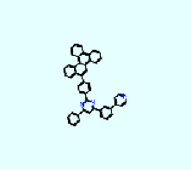 c1ccc(-c2cc(-c3cccc(-c4ccncc4)c3)nc(-c3ccc(-c4cc5c6ccccc6c6ccccc6c5c5ccccc45)cc3)n2)cc1